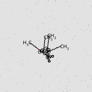 CCCCCCCCCCCCCC(=O)OC[C@H](COC(COC[C@@H](COC(=O)CCCCCCCCCCCCC)OC(=O)CCCCCCCCCCCCC)COP(=O)(OCc1ccccc1)OCc1ccccc1)OC(=O)CCCCCCCCCCCCC